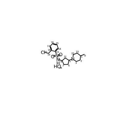 CC1CCN(C2CCC(NS(=O)(=O)c3ccccc3CCl)C2)CC1.Cl